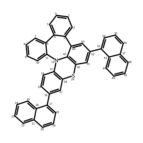 c1ccc2c(c1)-c1ccccc1N1c3ccc(-c4cccc5ccccc45)cc3Sc3cc(-c4cccc5ccccc45)cc-2c31